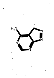 Nc1ncnc2c1CN=N2